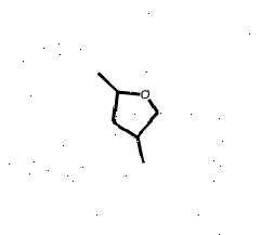 C[C]1[CH]OC(C)C1